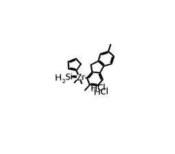 Cc1ccc2c(c1)Cc1c-2ccc(C)[c]1[Zr]([CH3])([CH3])(=[SiH2])[C]1=CC=CC1.Cl.Cl